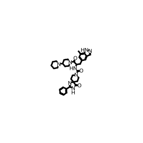 Cc1cc(CC(NC(=O)N2CCC3(CC2)N=C(c2ccccc2)NC3=O)C(=O)N2CCC(N3CCCCC3)CC2)cc2cn[nH]c12